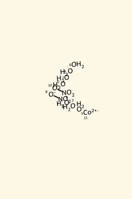 O.O.O.O.O.O.O.O=[N+]([O-])[O-].O=[N+]([O-])[O-].[Co+2]